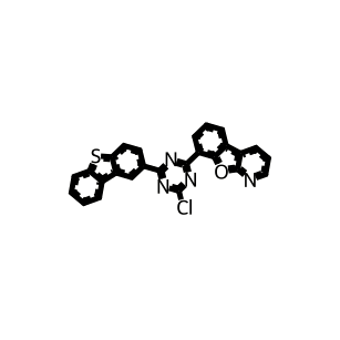 Clc1nc(-c2ccc3sc4ccccc4c3c2)nc(-c2cccc3c2oc2ncccc23)n1